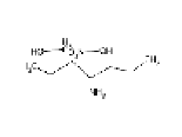 CCCCCCC.CO.N.O=[N+]([O-])O